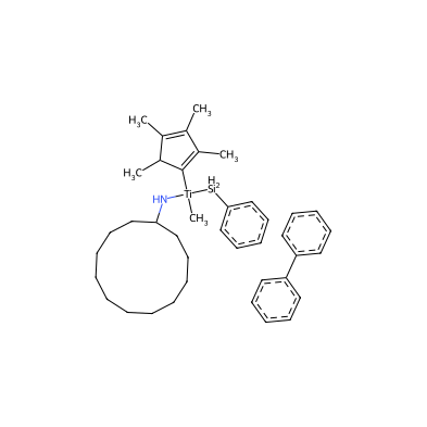 CC1=C(C)C(C)[C]([Ti]([CH3])([NH]C2CCCCCCCCCCC2)[SiH2]c2ccccc2)=C1C.c1ccc(-c2ccccc2)cc1